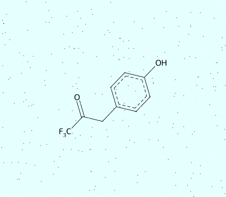 O=C(Cc1ccc(O)cc1)C(F)(F)F